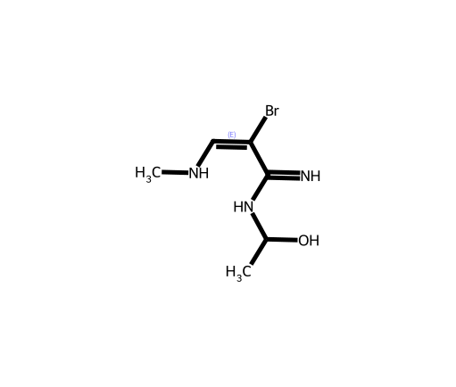 CN/C=C(/Br)C(=N)NC(C)O